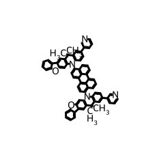 CC1(C)c2cc(-c3cccnc3)ccc2N(c2ccc3c4ccc(N5c6ccc(-c7cccnc7)cc6C(C)(C)c6cc7c(cc65)oc5ccccc57)c5cccc(c6cccc2c63)c54)c2cc3oc4ccccc4c3cc21